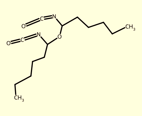 CCCCCC(N=C=O)OC(CCCCC)N=C=O